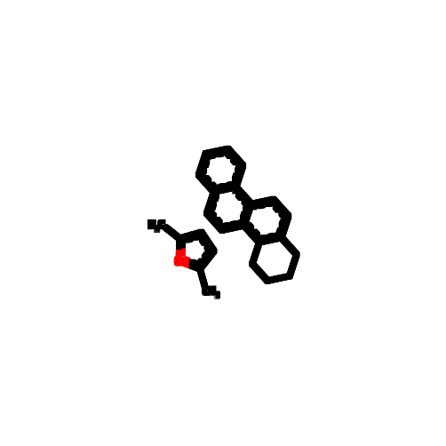 Cc1ccc(C)o1.c1ccc2c(c1)ccc1c3c(ccc12)CCCC3